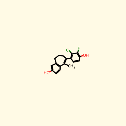 CC1=C(c2ccc(O)c(F)c2Cl)CCCc2cc(O)ccc21